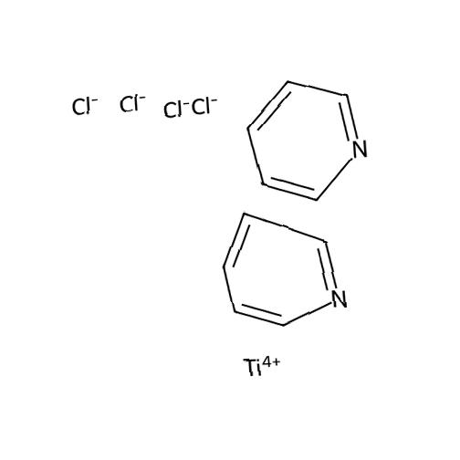 [Cl-].[Cl-].[Cl-].[Cl-].[Ti+4].c1ccncc1.c1ccncc1